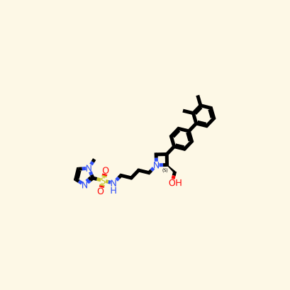 Cc1cccc(-c2ccc(C3CN(CCCCNS(=O)(=O)c4nccn4C)[C@@H]3CO)cc2)c1C